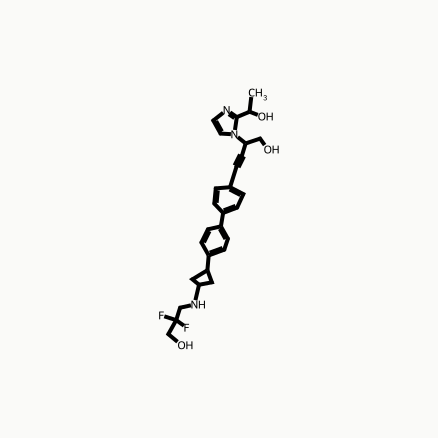 CC(O)c1nccn1C(C#Cc1ccc(-c2ccc(C3CC(NCC(F)(F)CO)C3)cc2)cc1)CO